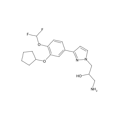 NCC(O)Cn1ccc(-c2ccc(OC(F)F)c(OC3CCCC3)c2)n1